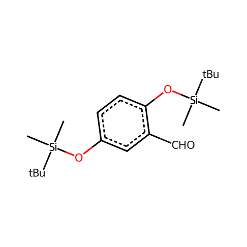 CC(C)(C)[Si](C)(C)Oc1ccc(O[Si](C)(C)C(C)(C)C)c(C=O)c1